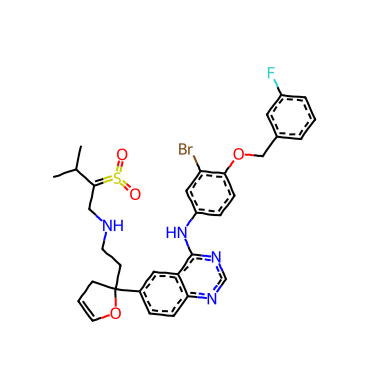 CC(C)C(CNCCC1(c2ccc3ncnc(Nc4ccc(OCc5cccc(F)c5)c(Br)c4)c3c2)CC=CO1)=S(=O)=O